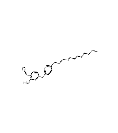 CCCCCCCCCCCCc1ccc(Cc2ccc(C=O)c(O)c2)cc1